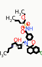 C=CCC[C@@H](COCC)S(=O)(=O)NC(=O)c1ccc2c(c1)N(C[C@@H]1CC[C@H]1[C@@H](O)/C=C/CCC)C[C@@]1(CCCc3cc(Cl)ccc31)CO2